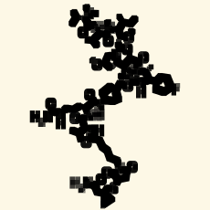 CC[C@H](C)[C@@H]([C@@H](CC(=O)N1C[C@H](OC)C[C@H]1[C@H](OC)[C@@H](C)C(=O)N[C@H](C)C(NC(=O)OCc1ccc(NC(=O)[C@H](CCCNC(N)=O)NC(=O)[C@@H](NC(=O)CCCCCN2C(=O)CC(SCC3(CC(N)=O)CC3)C2=O)C(C)C)cc1)c1ccc(F)cc1)OC)N(C)C(=O)[C@@H](NC(=O)[C@H](C(C)C)N(C)C)C(C)C